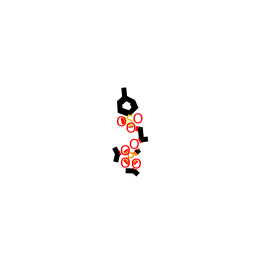 Cc1ccc(S(=O)(=O)OCC(C)OCP(=O)(OC(C)C)OC(C)C)cc1